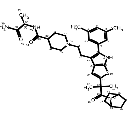 Cc1cc(C)cc(-c2[nH]c3sc(C(C)(C)C(=O)N4C5CCC4CC5)cc3c2CCN2CCC(C(=O)N[C@H](C)C(N)=O)CC2)c1